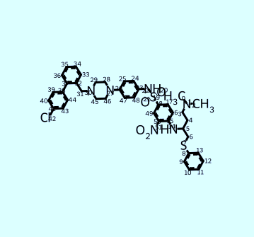 CN(C)CCC(CSc1ccccc1)Nc1ccc(S(=O)(=O)Nc2ccc(N3CCN(Cc4ccccc4-c4ccc(Cl)cc4)CC3)cc2)cc1[N+](=O)[O-]